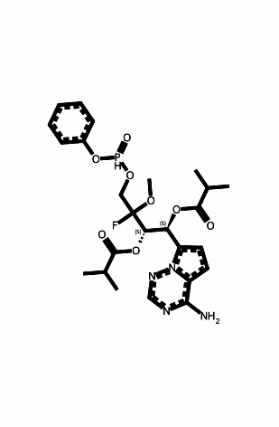 COC(F)(CO[PH](=O)Oc1ccccc1)[C@@H](OC(=O)C(C)C)[C@@H](OC(=O)C(C)C)c1ccc2c(N)ncnn12